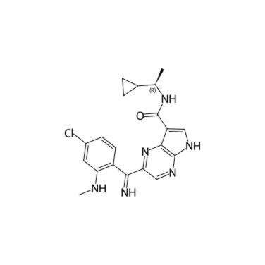 CNc1cc(Cl)ccc1C(=N)c1cnc2[nH]cc(C(=O)N[C@H](C)C3CC3)c2n1